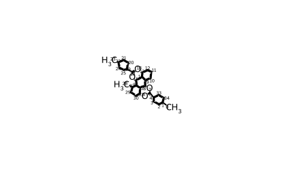 Cc1ccc(C(=O)Oc2c3ccccc3c(OC(=O)c3ccc(C)cc3)c3c(C)cccc23)cc1